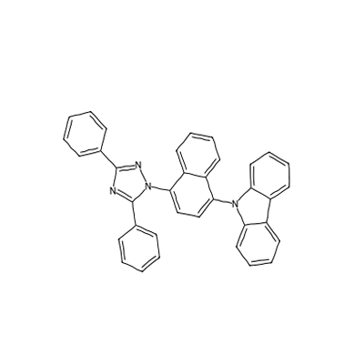 c1ccc(-c2nc(-c3ccccc3)n(-c3ccc(-n4c5ccccc5c5ccccc54)c4ccccc34)n2)cc1